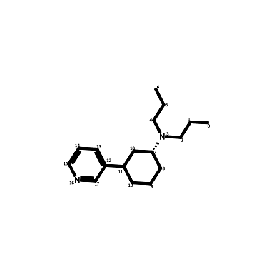 CCCN(CCC)[C@@H]1CCCC(c2cccnc2)C1